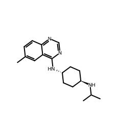 Cc1ccc2ncnc(N[C@H]3CC[C@H](NC(C)C)CC3)c2c1